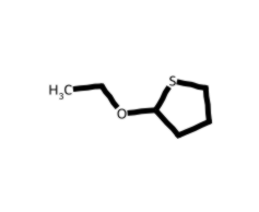 CCOC1CCCS1